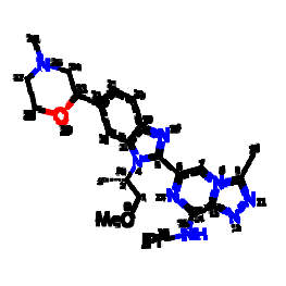 COC[C@H](C)n1c(-c2cn3c(C)nnc3c(NC(C)C)n2)nc2ccc(C3CN(C)CCO3)cc21